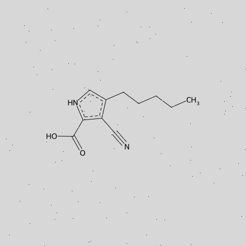 CCCCCc1c[nH]c(C(=O)O)c1C#N